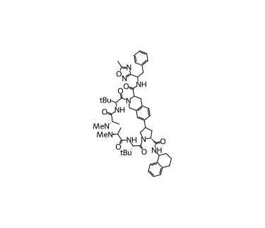 CN[C@@H](C)C(=O)NC(C(=O)N1Cc2cc(C3C[C@@H](C(=O)NC4CCCc5ccccc54)N(C(=O)[C@@H](NC(=O)[C@H](C)NC)C(C)(C)C)C3)ccc2CC1C(=O)NC(Cc1ccccc1)c1noc(C)n1)C(C)(C)C